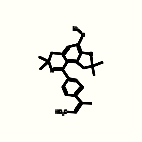 CCOc1cc2c(c3c1OC(C)(C)C3)C(c1ccc(/C(C)=C\C(=O)O)cc1)=NC(C)(C)C2